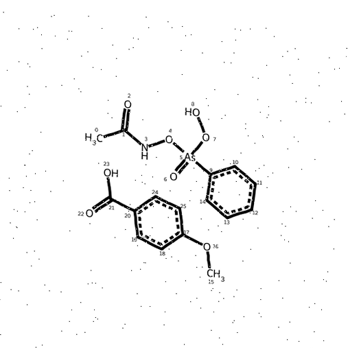 CC(=O)NO[As](=O)(OO)c1ccccc1.COc1ccc(C(=O)O)cc1